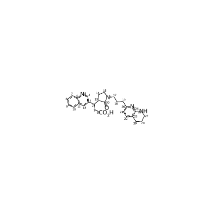 O=C(O)CC(c1cnc2ccccc2c1)C1CCN(CCCc2ccc3c(n2)NCCC3)C1=O